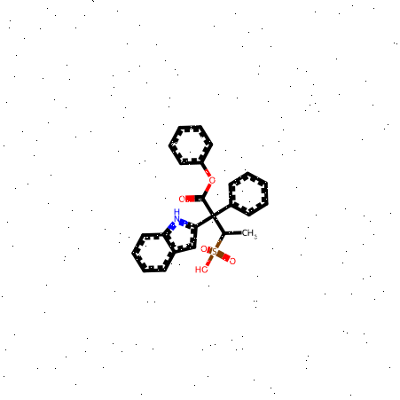 CC(C(C(=O)Oc1ccccc1)(c1ccccc1)c1cc2ccccc2[nH]1)S(=O)(=O)O